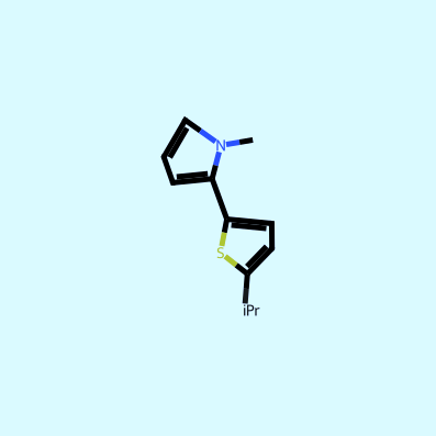 CC(C)c1ccc(-c2cccn2C)s1